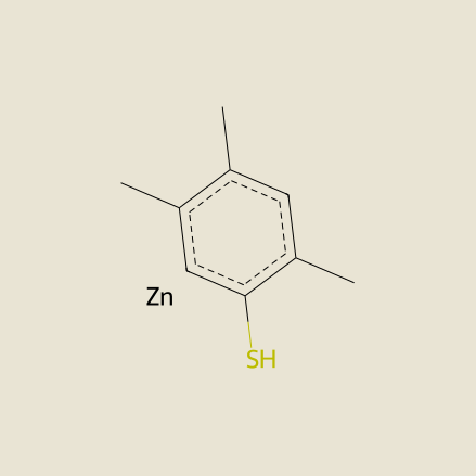 Cc1cc(C)c(S)cc1C.[Zn]